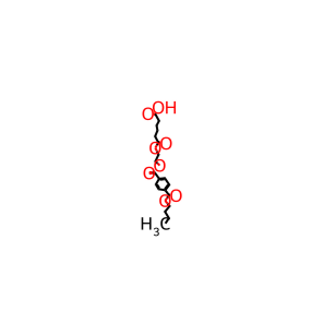 CCCCOC(=O)c1ccc(C(=O)OCCOC(=O)CCCCC(=O)O)cc1